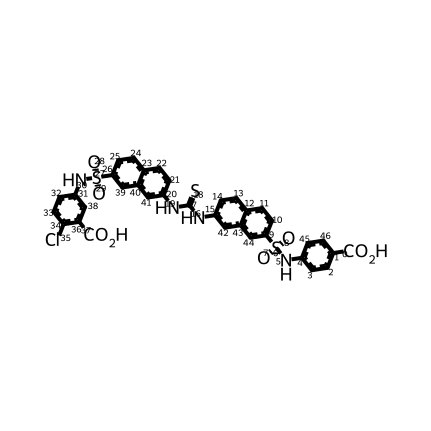 O=C(O)c1ccc(NS(=O)(=O)c2ccc3ccc(NC(=S)Nc4ccc5ccc(S(=O)(=O)Nc6ccc(Cl)c(C(=O)O)c6)cc5c4)cc3c2)cc1